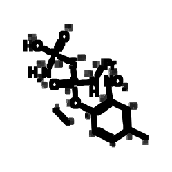 CC.Cc1ccc(OP(=O)(NC(C)C)SP(N)(=O)O)c([N+](=O)[O-])c1